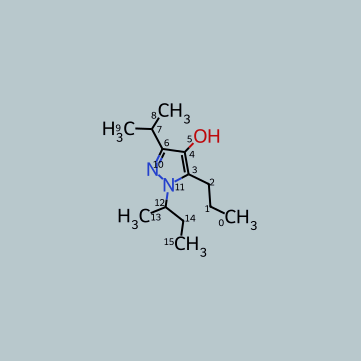 CCCc1c(O)c(C(C)C)nn1C(C)CC